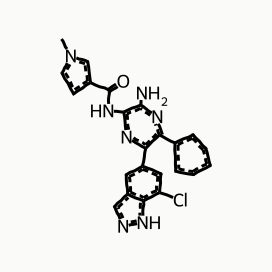 Cn1ccc(C(=O)Nc2nc(-c3cc(Cl)c4[nH]ncc4c3)c(-c3ccccc3)nc2N)c1